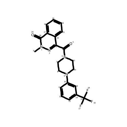 Cn1nc(C(=O)N2CCN(c3cccc(C(F)(F)F)c3)CC2)c2ccccc2c1=O